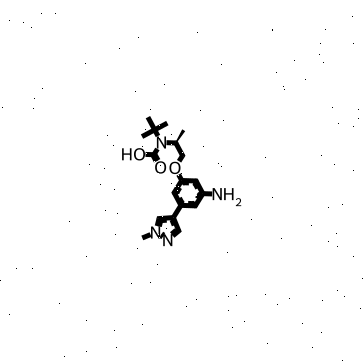 C[C@@H](COc1cc(N)cc(-c2cnn(C)c2)c1)N(C(=O)O)C(C)(C)C